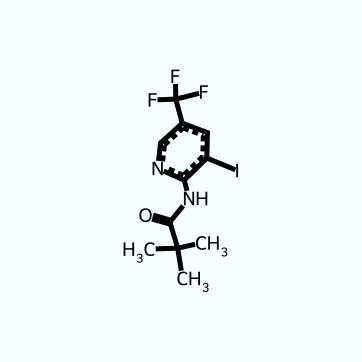 CC(C)(C)C(=O)Nc1ncc(C(F)(F)F)cc1I